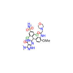 COc1ccc(C(c2nc3[nH]nc(N(C)C)c3c(=O)[nH]2)c2c(Cl)cc(S(N)(=O)=O)cc2Cl)cc1NC(=O)CN1CCOCC1